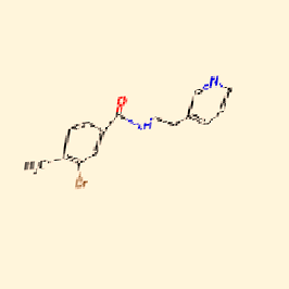 Cc1ccc(C(=O)NCCc2cccnc2)cc1Br